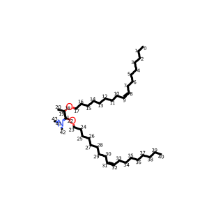 CCCCCCCC/C=C\CCCCCCCCOC(C)C(OCCCCCCCC/C=C\CCCCCCCC)N(C)C